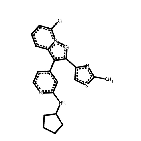 Cc1nc(-c2nn3c(Cl)cccc3c2-c2ccnc(NC3CCCC3)c2)cs1